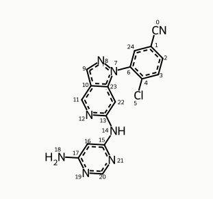 N#Cc1ccc(Cl)c(-n2ncc3cnc(Nc4cc(N)ncn4)cc32)c1